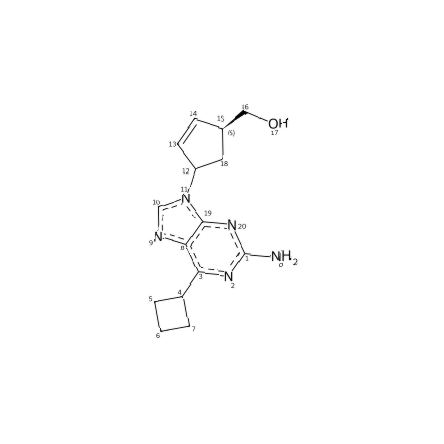 Nc1nc(C2CCC2)c2ncn(C3C=C[C@@H](CO)C3)c2n1